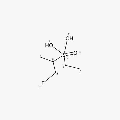 CCS(=O)(O)(O)C(C)CF